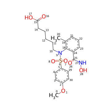 COc1ccc(S(=O)(=O)N(CCCCCC(=O)O)c2c(C)cccc2C(=O)NO)cc1